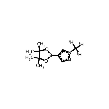 [2H]C([2H])([2H])n1cc(B2OC(C)(C)C(C)(C)O2)cn1